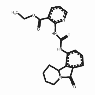 CCOC(=O)c1cccnc1NC(=O)Nc1cccc2c1C1CCCCN1C2=O